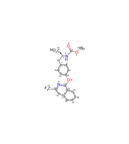 CC(C)(C)OC(=O)N[C@@H](Cc1ccc(Oc2nc(C(F)(F)F)cc3ccccc23)cc1)C(=O)O